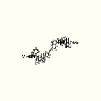 COC(=O)N[C@H](C(=O)N1CCC[C@H]1c1nc2ccc3cc(C#Cc4ccc(-c5cnc(C6CCCN6C(=O)[C@H](NC(=O)OC)c6ccccc6)[nH]5)cc4)ccc3c2[nH]1)C(C)C